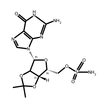 CC1(C)OC2[C@@H](O1)[C@@H](COS(N)(=O)=O)O[C@H]2n1cnc2c(=O)[nH]c(N)nc21